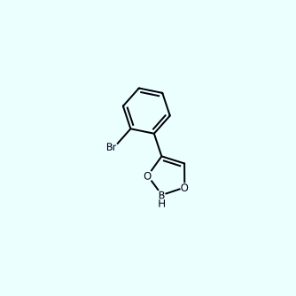 Brc1ccccc1C1=COBO1